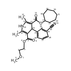 COCCOC(=O)C1=C(C)NC(C)=C(C(=O)OC2CCCCCC2)C1c1cccc(C#N)c1